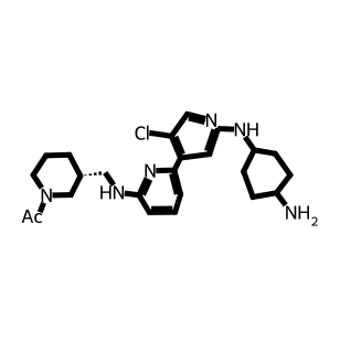 CC(=O)N1CCC[C@H](CNc2cccc(-c3cc(NC4CCC(N)CC4)ncc3Cl)n2)C1